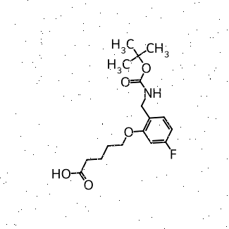 CC(C)(C)OC(=O)NCc1ccc(F)cc1OCCCCC(=O)O